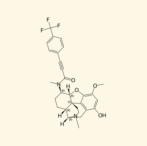 COc1cc(O)c2c3c1O[C@H]1[C@H](N(C)C(=O)C#Cc4ccc(C(F)(F)F)cc4)CC[C@H]4[C@@H](C2)N(C)CC[C@@]341